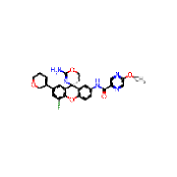 COc1cnc(C(=O)Nc2ccc3c(c2)[C@@]2(CCOC(N)=N2)c2cc(C4=CCCOC4)cc(F)c2O3)cn1